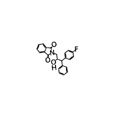 O=C1c2ccccc2C(=O)N1CC(O)C(c1ccccc1)c1ccc(F)cc1